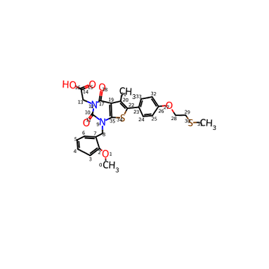 COc1ccccc1Cn1c(=O)n(CC(=O)O)c(=O)c2c(C)c(-c3ccc(OCCSC)cc3)sc21